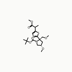 COC[C@@]1(c2ncc(C(C)C(=O)OC)s2)C[C@H](OC)CN1C(=O)OC(C)(C)C